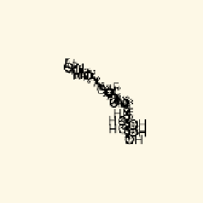 CCOc1cnc(N2CCC(CCCOc3ccc(CC(=O)N4CC[C@@H](CNC[C@H](O)[C@@H](O)[C@H](O)[C@H](O)CO)C4)c(F)c3)CC2)nc1